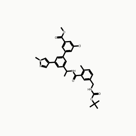 COC(=O)c1cc(Cl)cc(-c2cc(-c3cnn(C)c3)cc(C(C)NC(=O)c3cc(CNC(=O)OC(C)(C)C)ccc3C)c2)c1